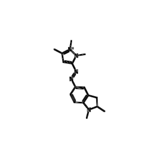 Cc1cc(N=Nc2ccc3c(c2)CC(C)N3C)n(C)[n+]1C